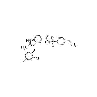 C=Cc1ccc(S(=O)(=O)NC(=O)c2ccc3[nH]c(C)c(Cc4ccc(Br)cc4Cl)c3c2)cc1